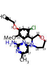 C#CCOc1cc(Cl)c(C2COCCCN2c2cc(C)nc(N)n2)cc1OC